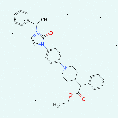 CCOC(=O)C(c1ccccc1)C1CCN(c2ccc(-n3ccn(C(C)c4ccccc4)c3=O)cc2)CC1